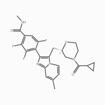 CNC(=O)c1cc(F)c(-c2nc3cc(C)ccn3c2C[C@H]2CN(C(=O)C3CC3)CCO2)c(F)c1F